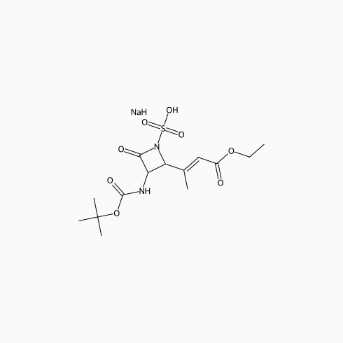 CCOC(=O)/C=C(\C)C1C(NC(=O)OC(C)(C)C)C(=O)N1S(=O)(=O)O.[NaH]